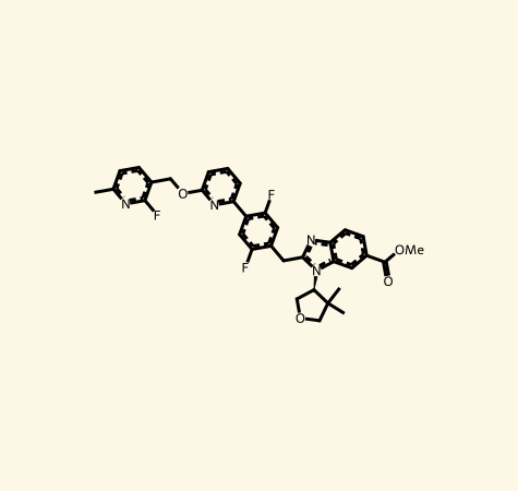 COC(=O)c1ccc2nc(Cc3cc(F)c(-c4cccc(OCc5ccc(C)nc5F)n4)cc3F)n([C@@H]3COCC3(C)C)c2c1